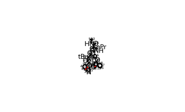 CCC[C@H](NC(=O)[C@@H]1C[C@@H](Oc2ccc(C)c3ccccc23)CN1C(=O)[C@@H](NC(=O)[C@@H](NC(=O)c1cnccn1)C1CCCCC1)C(C)(C)C)C(=O)C(=O)NC1CC1